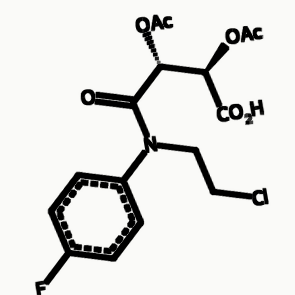 CC(=O)O[C@@H](C(=O)O)[C@@H](OC(C)=O)C(=O)N(CCCl)c1ccc(F)cc1